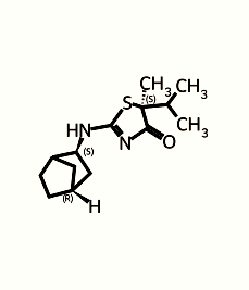 CC(C)[C@]1(C)SC(N[C@H]2C[C@@H]3CCC2C3)=NC1=O